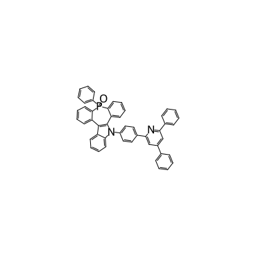 O=P1(c2ccccc2)c2ccccc2-c2c(n(-c3ccc(-c4cc(-c5ccccc5)cc(-c5ccccc5)n4)cc3)c3ccccc23)-c2ccccc21